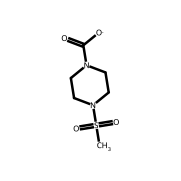 CS(=O)(=O)N1CCN(C([O])=O)CC1